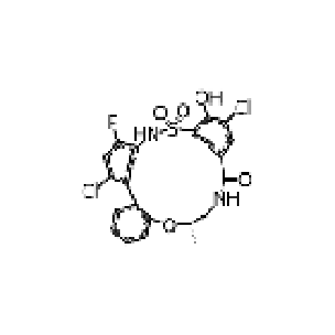 C[C@H]1CNC(=O)c2cc(Cl)c(O)c(c2)S(=O)(=O)Nc2cc(c(Cl)cc2F)-c2ccccc2O1